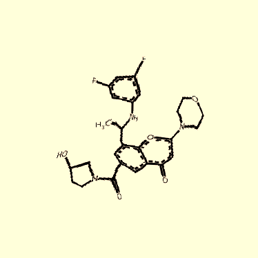 CC(Nc1cc(F)cc(F)c1)c1cc(C(=O)N2CCC(O)C2)cc2c(=O)cc(N3CCOCC3)oc12